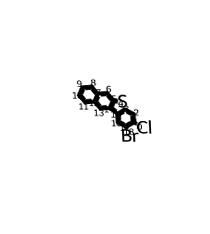 Clc1cc2sc3cc4ccccc4cc3c2cc1Br